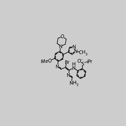 COc1cc(N2CCOCC2)c(-c2cnn(C)c2)cc1\N=C/C(Br)=C(\N=C\N)Nc1ccccc1[S+]([O-])C(C)C